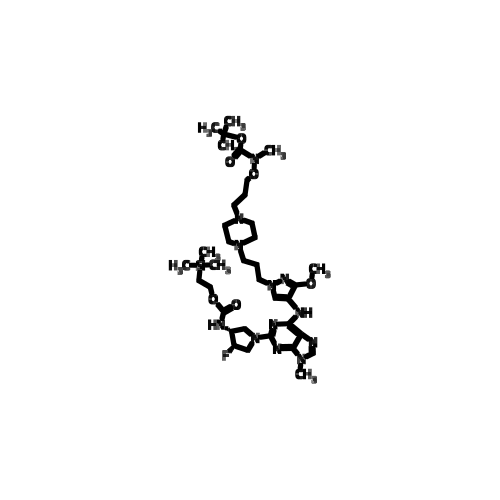 COc1nn(CCCN2CCN(CCCON(C)C(=O)OC(C)(C)C)CC2)cc1Nc1nc(N2C[C@@H](F)[C@H](NC(=O)OCC[Si](C)(C)C)C2)nc2c1ncn2C